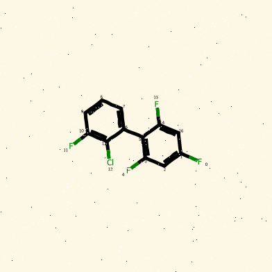 Fc1cc(F)c(-c2cc[c]c(F)c2Cl)c(F)c1